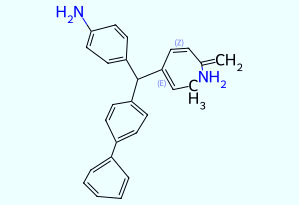 C=C(N)/C=C\C(=C/C)C(c1ccc(N)cc1)c1ccc(-c2ccccc2)cc1